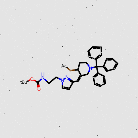 CC(=O)SC1CCN(C(c2ccccc2)(c2ccccc2)c2ccccc2)C/C1=C/c1ccn(CCNC(=O)OC(C)(C)C)n1